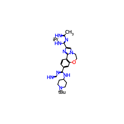 CC(=N)/N=C(\NC(C)C)c1cn2c(n1)-c1ccc(/C(=N/C=N)NC3CCN(C(C)(C)C)CC3)cc1OCC2